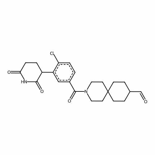 O=CC1CCC2(CC1)CCN(C(=O)c1ccc(Cl)c(C3CCC(=O)NC3=O)c1)CC2